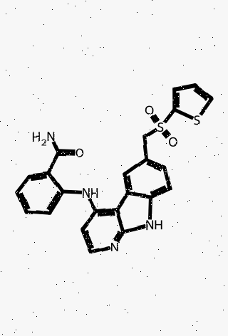 NC(=O)c1ccccc1Nc1ccnc2[nH]c3ccc(CS(=O)(=O)c4cccs4)cc3c12